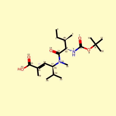 CC[C@@H](C)[C@H](NC(=O)OC(C)(C)C)C(=O)N(C)[C@H](/C=C(\C)C(=O)O)C(C)C